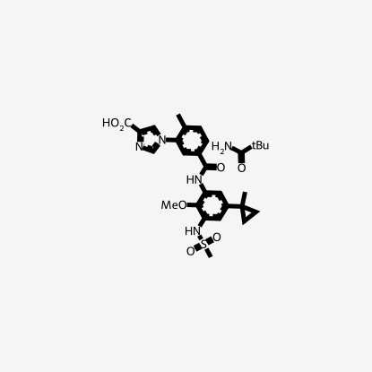 CC(C)(C)C(N)=O.COc1c(NC(=O)c2ccc(C)c(-n3cnc(C(=O)O)c3)c2)cc(C2(C)CC2)cc1NS(C)(=O)=O